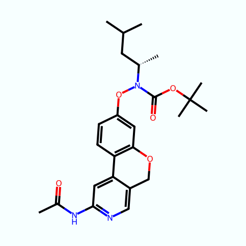 CC(=O)Nc1cc2c(cn1)COc1cc(ON(C(=O)OC(C)(C)C)[C@@H](C)CC(C)C)ccc1-2